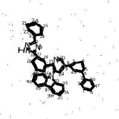 c1ccc(-c2cccc(-c3cnc(-c4cccc(-c5nc(-c6ccccc6)n[nH]5)c4)c(-n4c5ccccc5c5ccccc54)c3)c2)cc1